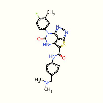 Cc1cc(N2C(=O)Nc3c(C(=O)Nc4ccc(CN(C)C)cc4)sc4ncnc2c34)ccc1F